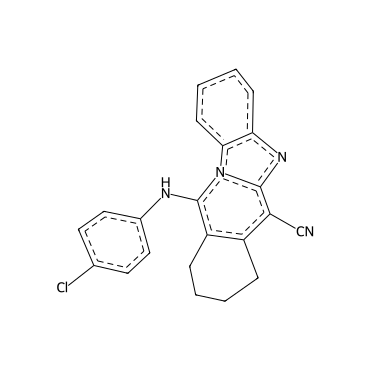 N#Cc1c2c(c(Nc3ccc(Cl)cc3)n3c1nc1ccccc13)CCCC2